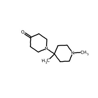 CN1CCC(C)(N2CCC(=O)CC2)CC1